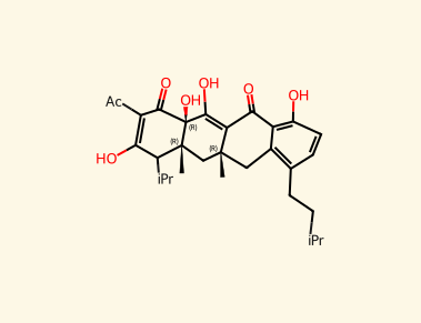 CC(=O)C1=C(O)C(C(C)C)[C@@]2(C)C[C@@]3(C)Cc4c(CCC(C)C)ccc(O)c4C(=O)C3=C(O)[C@@]2(O)C1=O